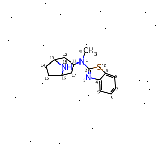 CN(c1nc2ccccc2s1)C1CC2CCC(C1)N2